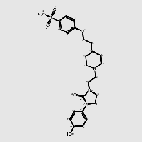 CS(=O)(=O)c1ccc(OCCC2CCN(CCN3CCN(c4ccc(O)cc4)C3=O)CC2)cc1